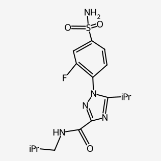 CC(C)CNC(=O)c1nc(C(C)C)n(-c2ccc(S(N)(=O)=O)cc2F)n1